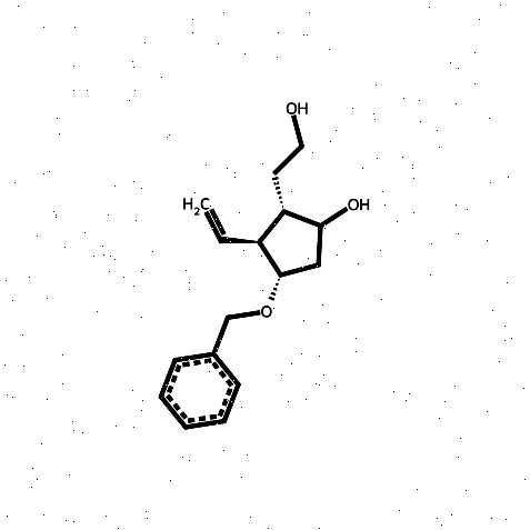 C=C[C@@H]1[C@@H](OCc2ccccc2)CC(O)[C@H]1CCO